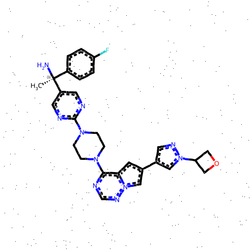 C[C@](N)(c1ccc(F)cc1)c1cnc(N2CCN(c3ncnn4cc(-c5cnn(C6COC6)c5)cc34)CC2)nc1